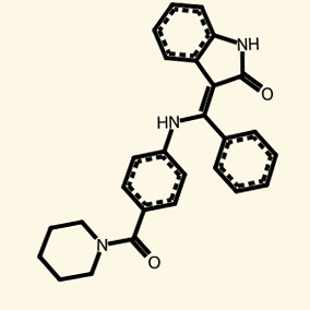 O=C1Nc2ccccc2C1=C(Nc1ccc(C(=O)N2CCCCC2)cc1)c1ccccc1